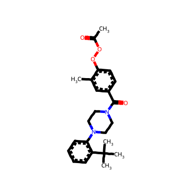 CC(=O)OOc1ccc(C(=O)N2CCN(c3ccccc3C(C)(C)C)CC2)cc1C